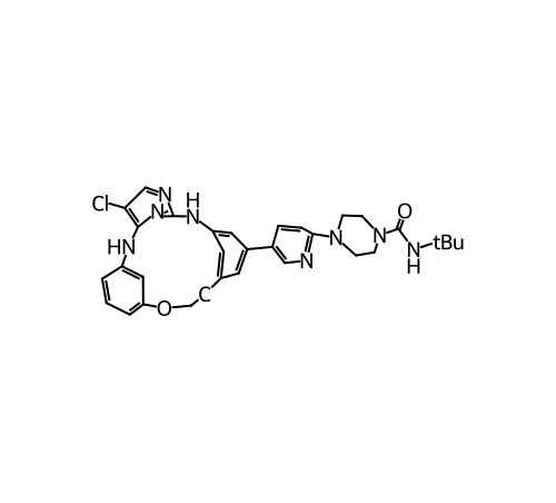 CC(C)(C)NC(=O)N1CCN(c2ccc(-c3cc4cc(c3)Nc3ncc(Cl)c(n3)Nc3cccc(c3)OCC4)cn2)CC1